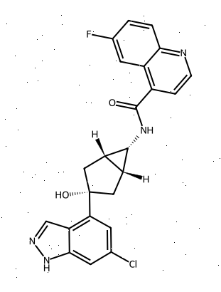 O=C(N[C@@H]1[C@@H]2C[C@@](O)(c3cc(Cl)cc4[nH]ncc34)C[C@@H]21)c1ccnc2ccc(F)cc12